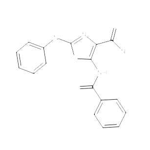 NC(=O)c1nc(Nc2ccccc2)sc1NC(=O)c1ccccc1